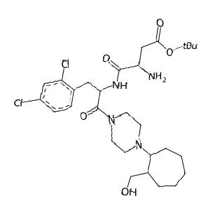 CC(C)(C)OC(=O)CC(N)C(=O)NC(Cc1ccc(Cl)cc1Cl)C(=O)N1CCN(C2CCCCCC2CO)CC1